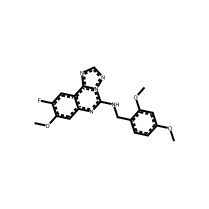 COc1ccc(CNc2nc3cc(OC)c(F)cc3c3ncnn23)c(OC)c1